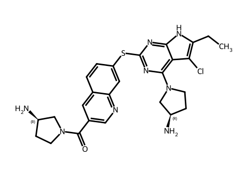 CCc1[nH]c2nc(Sc3ccc4cc(C(=O)N5CC[C@@H](N)C5)cnc4c3)nc(N3CC[C@@H](N)C3)c2c1Cl